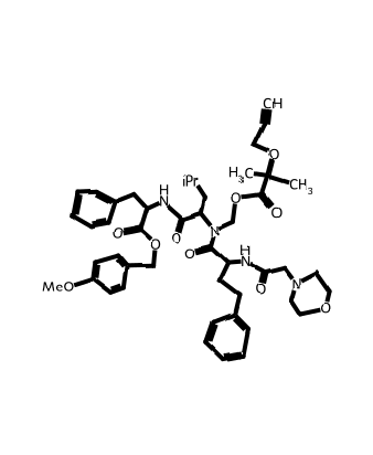 C#CCOC(C)(C)C(=O)OCN(C(=O)C(CCc1ccccc1)NC(=O)CN1CCOCC1)C(CC(C)C)C(=O)NC(Cc1ccccc1)C(=O)OCc1ccc(OC)cc1